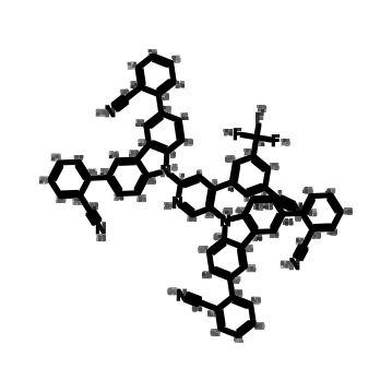 N#Cc1cc(-c2cc(-n3c4ccc(-c5ccccc5C#N)cc4c4cc(-c5ccccc5C#N)ccc43)ncc2-n2c3ccc(-c4ccccc4C#N)cc3c3cc(-c4ccccc4C#N)ccc32)cc(C(F)(F)F)c1